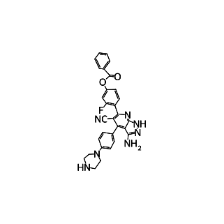 N#Cc1c(-c2ccc(OC(=O)c3ccccc3)cc2F)nc2[nH]nc(N)c2c1-c1ccc(N2CCNCC2)cc1